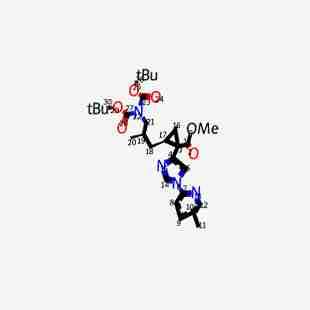 COC(=O)C1(c2cn(-c3ccc(C)cn3)cn2)C[C@@H]1C[C@@H](C)CN(C(=O)OC(C)(C)C)C(=O)OC(C)(C)C